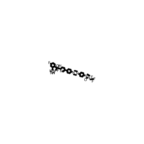 O=c1n(CC(F)(F)F)ccn1-c1ccc(N2CCN(c3ccc(-c4ccc(C(F)(F)[C@]5(O)Cn6nnnc6-c6cc(F)ccc65)nc4)cc3)CC2)cc1